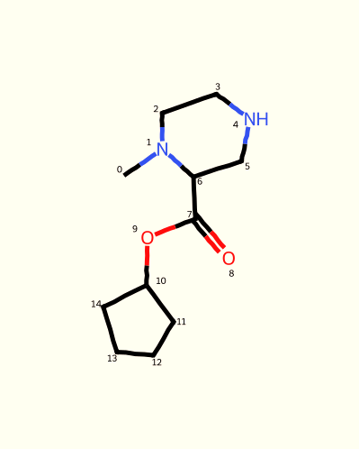 CN1CCNCC1C(=O)OC1CCCC1